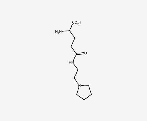 NC(CCC(=O)NCCN1CCCC1)C(=O)O